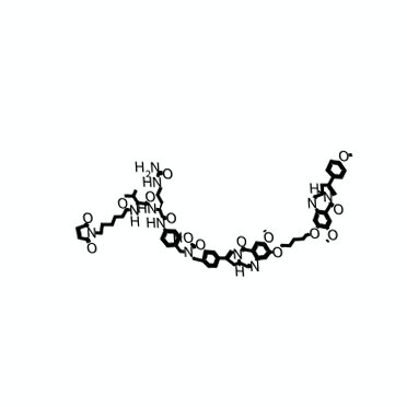 COc1ccc(C2=CN3C(=O)c4cc(OC)c(OCCCCCOc5cc6c(cc5OC)C(=O)N5C=C(c7ccc(CN(Cc8ccc(NC(=O)[C@H](CCCNC(N)=O)NC(=O)[C@@H](NC(=O)CCCCCN9C(=O)C=CC9=O)C(C)C)cc8)C(=O)O)cc7)C[C@H]5C=N6)cc4N=C[C@@H]3C2)cc1